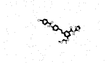 COC[C@H](C)Oc1cc(CCc2ccc(NC(=O)c3ccc(Cl)cc3)cc2)cc(C(=O)Nc2nccs2)c1